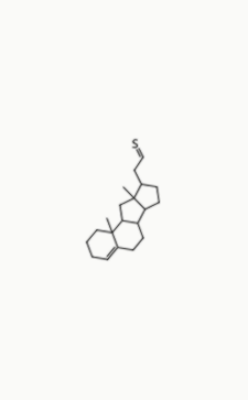 CC12CCCC=C1CCC1C2CC2(C)C(CC=S)CCC12